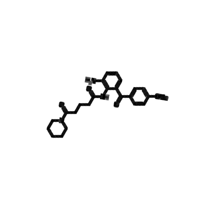 COc1ccc(C(=O)c2cccc(N)c2NC(=O)CCCC(=O)N2CCCCC2)cc1